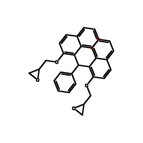 c1ccc(C(c2c(OCC3CO3)ccc3ccccc23)c2c(OCC3CO3)ccc3ccccc23)cc1